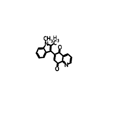 Cc1c(C2=CC(=O)c3ncccc3C2=O)c2ccccc2n1C